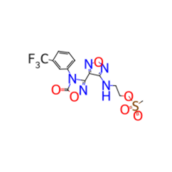 CS(=O)(=O)OCCNc1nonc1-c1noc(=O)n1-c1cccc(C(F)(F)F)c1